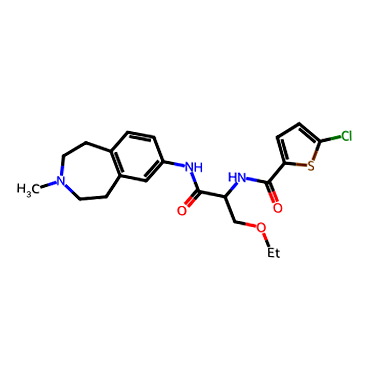 CCOCC(NC(=O)c1ccc(Cl)s1)C(=O)Nc1ccc2c(c1)CCN(C)CC2